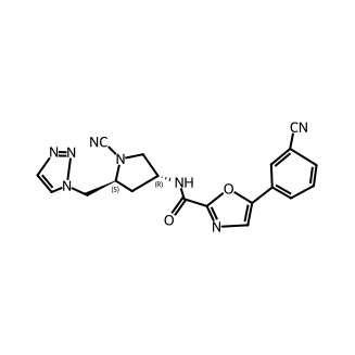 N#Cc1cccc(-c2cnc(C(=O)N[C@@H]3C[C@@H](Cn4ccnn4)N(C#N)C3)o2)c1